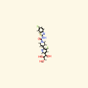 O=C(Nc1nc2ccc(F)cc2s1)N1CC=C(c2ncc([C@@H](O)[C@H](O)CO)cc2F)CC1